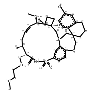 COCCOC[C@H]1C(=O)NS(=O)(=O)c2ccc3c(c2)N(C[C@@H]2CC[C@H]2[C@H](OC)C=CC[C@@H]1C)C[C@@]1(CCCc2cc(Cl)ccc21)CO3